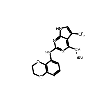 CC[C@@H](C)Nc1nc(Nc2cc[c]c3c2OCCO3)nc2[nH]cc(C(F)(F)F)c12